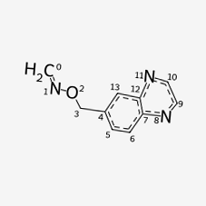 C=NOCc1ccc2nccnc2c1